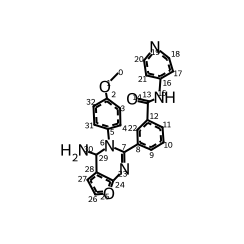 COc1ccc(N2C(c3cccc(C(=O)Nc4ccncc4)c3)=Nc3occc3C2N)cc1